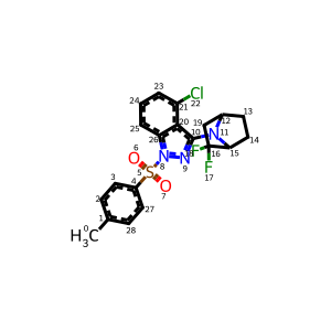 Cc1ccc(S(=O)(=O)n2nc(N3C4CCC3C(F)(F)C4)c3c(Cl)cccc32)cc1